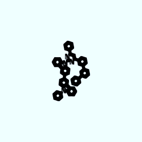 c1ccc(-c2cccc(-c3cccc(-c4cc(-c5ccccc5)nc(-n5c6ccccc6c6cc(-c7ccc8c(c7)c7ccccc7n8-c7ccccc7)ccc65)n4)c3)c2)cc1